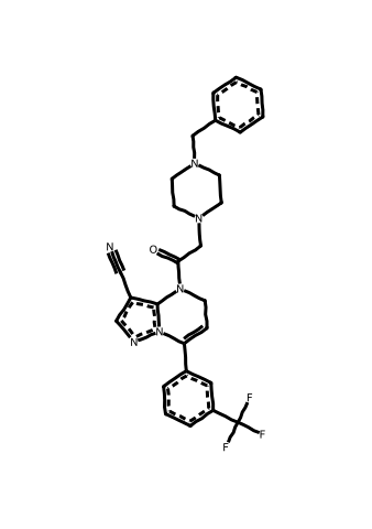 N#Cc1cnn2c1N(C(=O)CN1CCN(Cc3ccccc3)CC1)CC=C2c1cccc(C(F)(F)F)c1